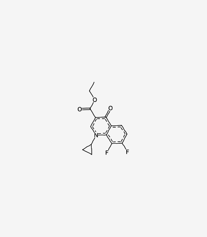 CCOC(=O)c1cn(C2CC2)c2c(F)c(F)ccc2c1=O